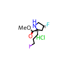 COC(=O)[C@@]1(CCCI)C[C@@H](F)CN1.Cl